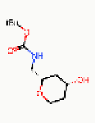 CC(C)(C)OC(=O)NC[C@@H]1C[C@H](O)CCO1